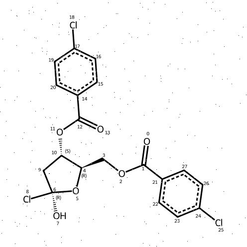 O=C(OC[C@H]1O[C@@](O)(Cl)C[C@@H]1OC(=O)c1ccc(Cl)cc1)c1ccc(Cl)cc1